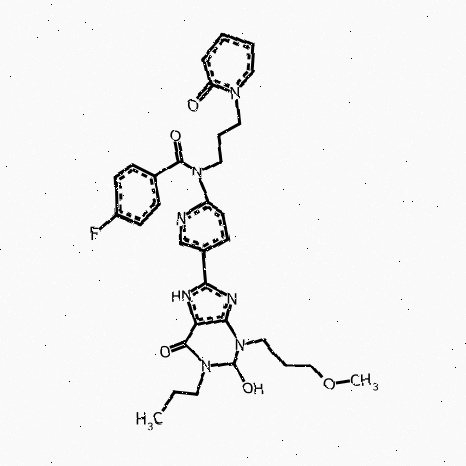 CCCN1C(=O)c2[nH]c(-c3ccc(N(CCCn4ccccc4=O)C(=O)c4ccc(F)cc4)nc3)nc2N(CCCOC)C1O